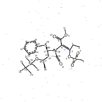 CC/C(OS(C)(=O)=O)=C(\C(=O)OC)N1C(=O)[C@H]([C@@H](C)O[Si](C)(C)C(C)(C)C)[C@H]1Sc1ccccc1